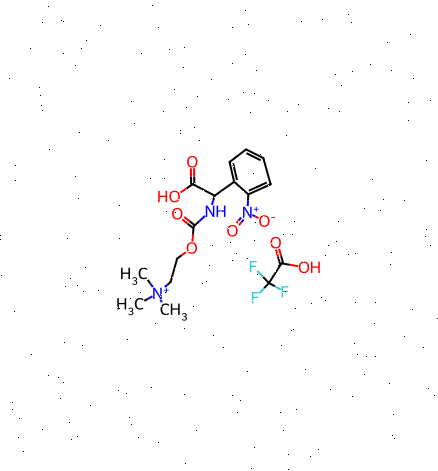 C[N+](C)(C)CCOC(=O)NC(C(=O)O)c1ccccc1[N+](=O)[O-].O=C(O)C(F)(F)F